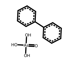 O=[As](O)(O)O.c1ccc(-c2ccccc2)cc1